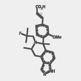 COc1cc(/C=C/C(=O)O)ccc1C1(C)c2ccc3[nH]ncc3c2CC(C)N1CC(C)(C)F